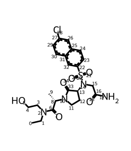 CCN(CCO)C(=O)[C@H](C)N1CC[C@H](N(CC(N)=O)S(=O)(=O)c2ccc3cc(Cl)ccc3c2)C1=O